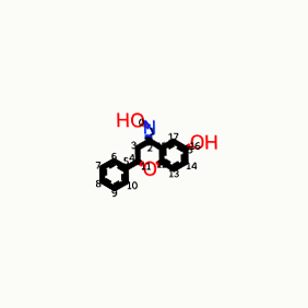 ON=C1CC(c2ccccc2)Oc2ccc(O)cc21